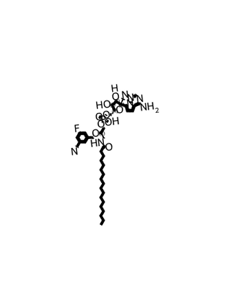 CCCCCCCCCCCCCCCCCC(=O)NC[C@H](COP(=O)(O)OC[C@H]1O[C@@](C#N)(c2ccc3c(N)ncnn23)[C@H](O)[C@@H]1O)OCc1cc(F)cc(C#N)c1